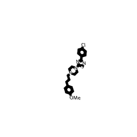 COc1ccc(CCCN2CCN(c3nc(-c4ccc(Cl)cc4)ns3)CC2)cc1